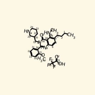 CCCCc1ccc2nc(-c3ccccc3OC)n(CC3CCCNC3)c(=O)c2c1NC.O=C(O)C(F)(F)F